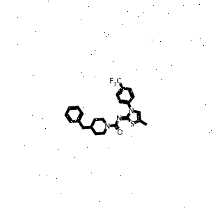 Cc1cn(-c2ccc(C(F)(F)F)cc2)c(=NC(=O)N2CCC(Cc3ccccc3)CC2)s1